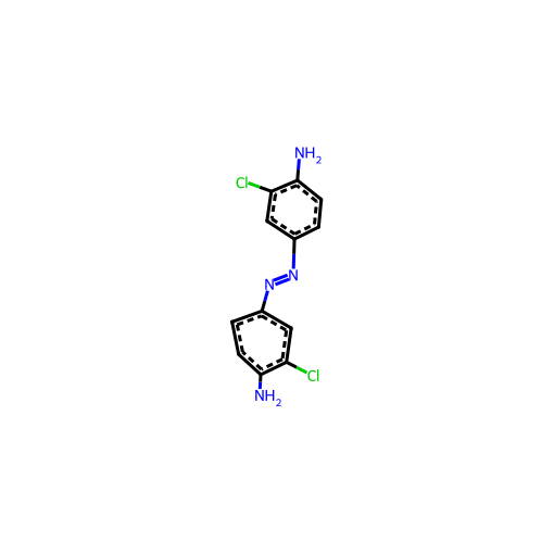 Nc1ccc(/N=N/c2ccc(N)c(Cl)c2)cc1Cl